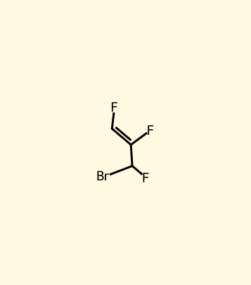 FC=C(F)C(F)Br